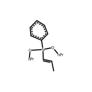 CC=C[Si](OCCC)(OCCC)c1ccccc1